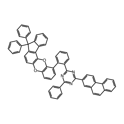 c1ccc(-c2nc(-c3ccc4c(ccc5ccccc54)c3)nc(-c3ccccc3-c3cccc4c3Oc3c(ccc5c3-c3ccccc3C5(c3ccccc3)c3ccccc3)O4)n2)cc1